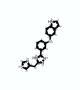 c1cc(Oc2ccc3[nH]ccc3c2)cc(-c2nnc(Cc3cscn3)[nH]2)c1